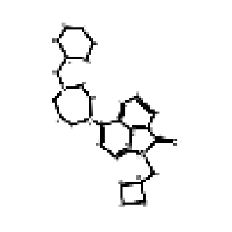 O=C1c2cccc3c(N4CCCN(CC5CCCCC5)CC4)ccc(c23)N1CC1CCC1